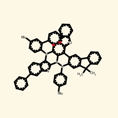 CC(C)(C)c1ccc(N2B3c4sc5cc(-c6ccccc6)ccc5c4N(c4ccc(C(C)(C)C)cc4-c4ccccc4)c4cc5c(oc6ccccc65)c(c43)-c3cc4c(cc32)C(C)(C)c2ccccc2-4)cc1